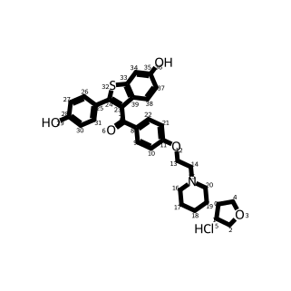 C1CCOC1.Cl.O=C(c1ccc(OCCN2CCCCC2)cc1)c1c(-c2ccc(O)cc2)sc2cc(O)ccc12